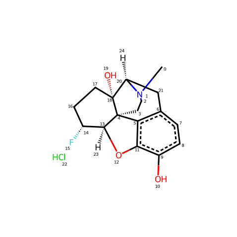 CN1CC[C@]23c4c5ccc(O)c4O[C@H]2[C@H](F)CC[C@@]3(O)[C@H]1C5.Cl